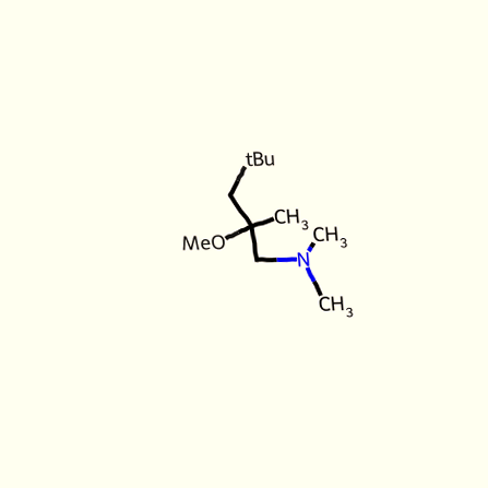 COC(C)(CN(C)C)CC(C)(C)C